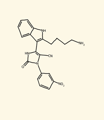 N#Cc1c(-c2c(CCCCN)[nH]c3ccccc23)[nH]c(=O)n1-c1cccc([N+](=O)[O-])c1